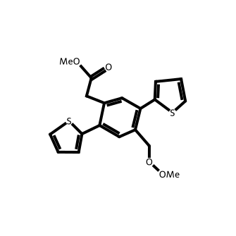 COOCc1cc(-c2cccs2)c(CC(=O)OC)cc1-c1cccs1